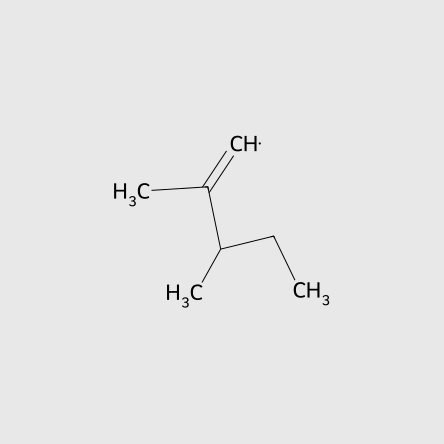 [CH]=C(C)C(C)CC